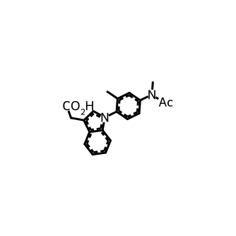 CC(=O)N(C)c1ccc(-n2cc(CC(=O)O)c3ccccc32)c(C)c1